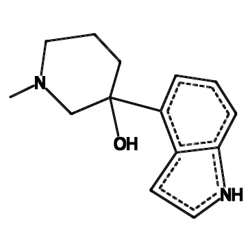 CN1CCCC(O)(c2cccc3[nH]ccc23)C1